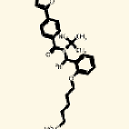 [2H]C(c1ccccc1OCCCCCC(=O)O)N(C(=O)c1ccc(-c2ccco2)cc1)C(C)(C)C#N